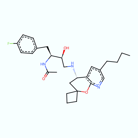 CCCCc1cnc2c(c1)[C@@H](NC[C@H](O)[C@H](Cc1ccc(F)cc1)NC(C)=O)CC1(CCC1)O2